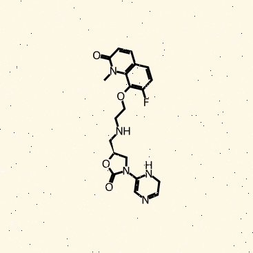 Cn1c(=O)ccc2ccc(F)c(OCCNC[C@H]3CN(C4=CN=CCN4)C(=O)O3)c21